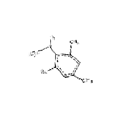 CCCN(C(=O)O)c1c(C)cc(C)cc1C(C)(C)C